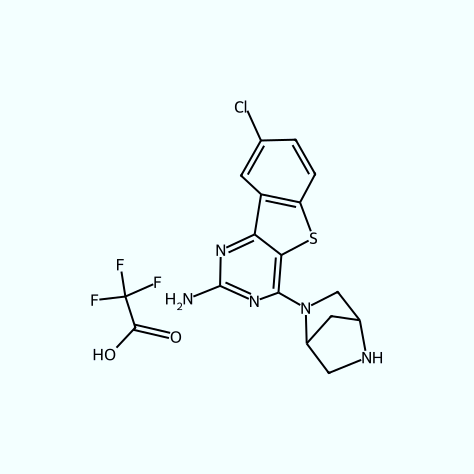 Nc1nc(N2CC3CC2CN3)c2sc3ccc(Cl)cc3c2n1.O=C(O)C(F)(F)F